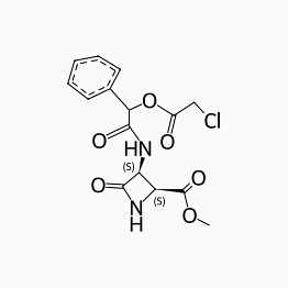 COC(=O)[C@H]1NC(=O)[C@H]1NC(=O)C(OC(=O)CCl)c1ccccc1